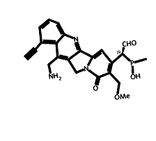 C#Cc1cccc2nc3c(c(CN)c12)Cn1c-3cc([C@@H](C=O)P(C)O)c(COC)c1=O